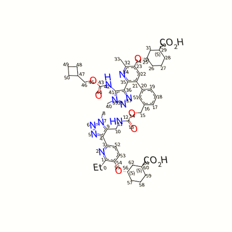 CCc1nc(-c2nnn(C)c2CNC(=O)OCc2cccc(-c3cc(O[C@H]4CCC[C@H](C(=O)O)C4)c(C)nc3-c3nnn(C)c3NC(=O)OCC3CCC3)c2)ccc1O[C@H]1CCC[C@H](C(=O)O)C1